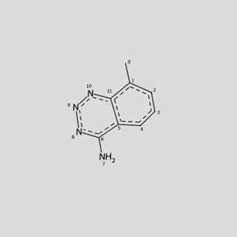 Cc1cccc2c(N)nnnc12